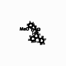 COc1cccc2cc(C(=O)NCC(c3ccccc3)c3ccccc3)oc12